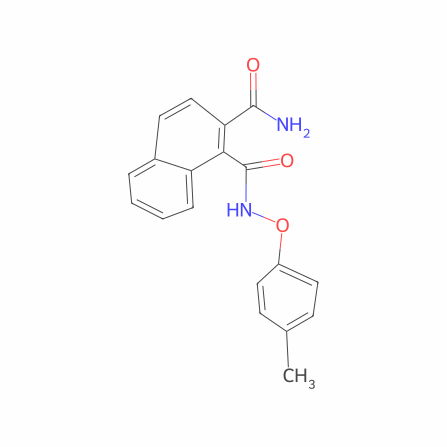 Cc1ccc(ONC(=O)c2c(C(N)=O)ccc3ccccc23)cc1